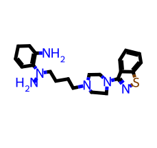 NC1=C(N(N)CCCCN2CCN(c3nsc4ccccc34)CC2)C=CCC1